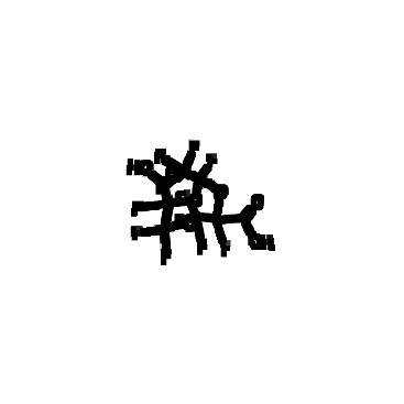 O=C(O)C(F)(OC(F)(OC(F)(C(=O)O)C(F)(F)Cl)C(F)(F)F)C(F)(F)Cl